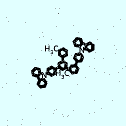 CC1C=CC=C(c2cc(-c3ccc(-n4c5ccccc5c5ccccc54)cc3)cc(C3(C)C=C(c4ccc(-n5c6ccccc6c6ccccc65)cc4)C=CC3)c2)C1